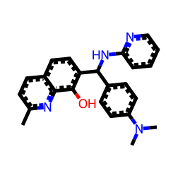 Cc1ccc2ccc(C(Nc3ccccn3)c3ccc(N(C)C)cc3)c(O)c2n1